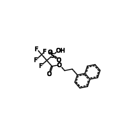 O=C(OCCc1cccc2ccccc12)C(F)(C(F)(F)F)S(=O)(=O)O